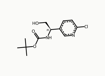 CC(C)(C)OC(=O)N[C@@H](CO)c1ccc(Cl)nc1